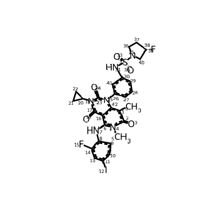 Cc1c(=O)n(C)c(Nc2ccc(I)cc2F)c2c(=O)n(C3CC3)c(=O)n(-c3cccc(NS(=O)(=O)N4CC[C@H](F)C4)c3)c12